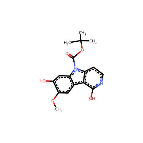 COc1cc2c3c(O)nccc3n(C(=O)OC(C)(C)C)c2cc1O